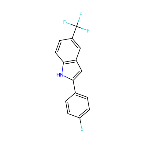 Fc1ccc(-c2cc3cc(C(F)(F)F)ccc3[nH]2)cc1